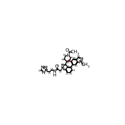 CC(=O)N1CCC(c2nn(CC(=O)NCCn3ncnn3)c3cccc(-c4cc5c(cnn5C)cc4F)c23)CC1